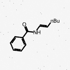 CCCCC=CNC(=O)c1ccccc1